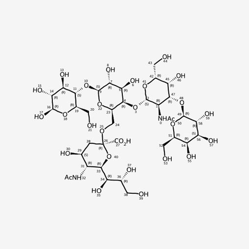 CC(=O)N[C@H]1[C@H](O[C@@H]2[C@H](O)[C@@H](O)[C@H](O[C@H]3[C@H](O)[C@@H](O)[C@H](O)O[C@@H]3CO)O[C@@H]2CO[C@]2(C(=O)O)C[C@H](O)[C@@H](NC(C)=O)[C@H]([C@H](O)[C@H](O)CO)O2)O[C@H](CO)[C@H](O)[C@@H]1O[C@@H]1O[C@H](CO)[C@H](O)[C@H](O)[C@H]1O